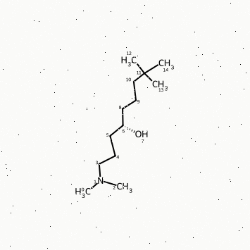 CN(C)CCC[C@@H](O)CCCC(C)(C)C